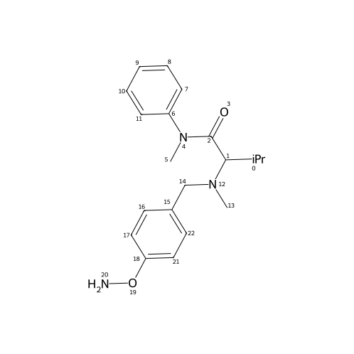 CC(C)C(C(=O)N(C)c1ccccc1)N(C)Cc1ccc(ON)cc1